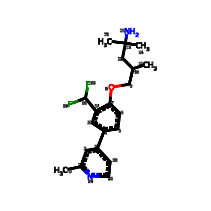 Cc1cc(-c2ccc(OCC(C)CC(C)(C)N)c(C(F)F)c2)ccn1